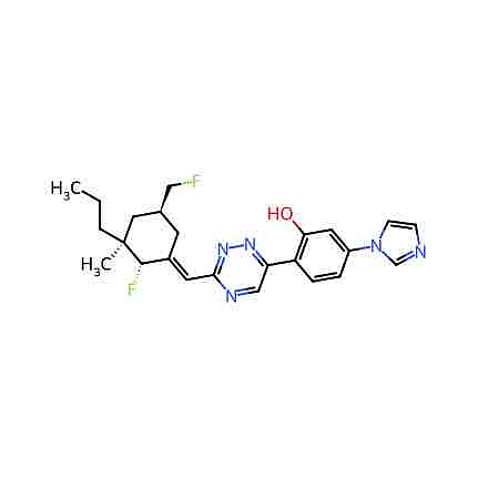 CCC[C@@]1(C)C[C@@H](CF)C/C(=C\c2ncc(-c3ccc(-n4ccnc4)cc3O)nn2)[C@@H]1F